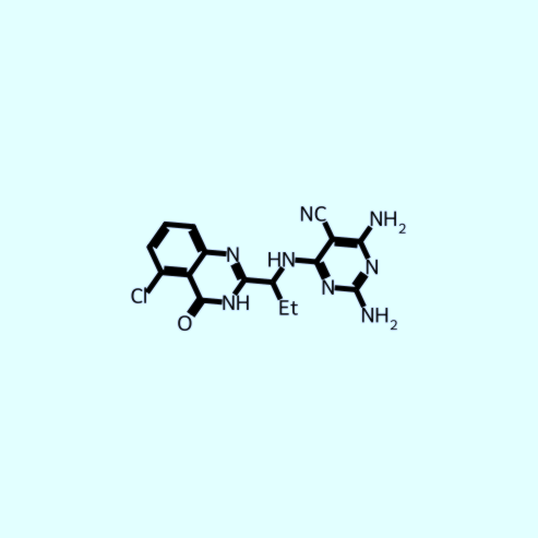 CCC(Nc1nc(N)nc(N)c1C#N)c1nc2cccc(Cl)c2c(=O)[nH]1